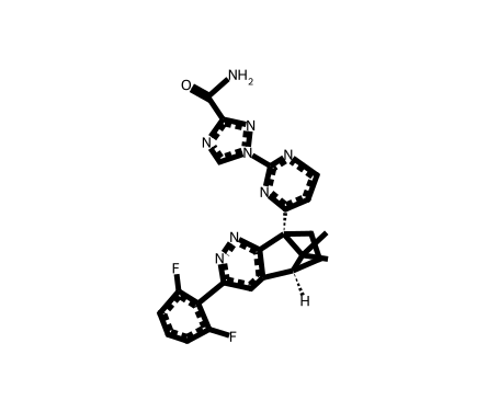 CC1(C)[C@H]2CC[C@]1(c1ccnc(-n3cnc(C(N)=O)n3)n1)c1nnc(-c3c(F)cccc3F)cc12